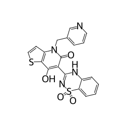 O=c1c(C2=NS(=O)(=O)c3ccccc3N2)c(O)c2sccc2n1Cc1cccnc1